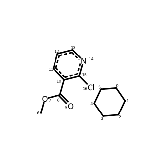 C1CCCCC1.COC(=O)c1cccnc1Cl